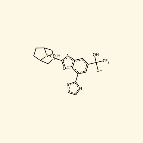 O=C(O)N1C2CCC1CN(c1nc3cc(C(O)(O)C(F)(F)F)cc(-c4nccs4)c3o1)C2